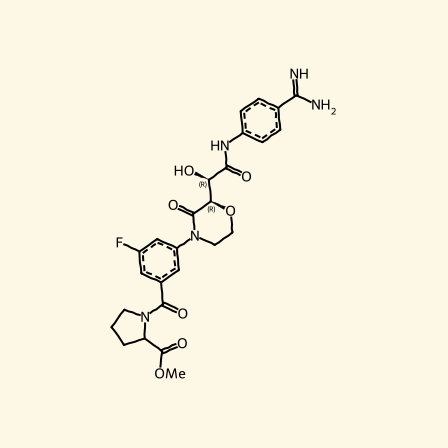 COC(=O)C1CCCN1C(=O)c1cc(F)cc(N2CCO[C@H]([C@@H](O)C(=O)Nc3ccc(C(=N)N)cc3)C2=O)c1